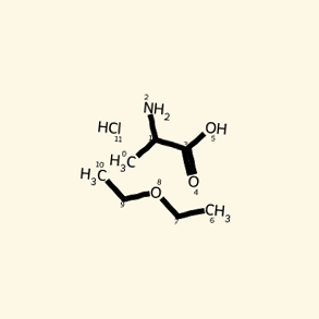 CC(N)C(=O)O.CCOCC.Cl